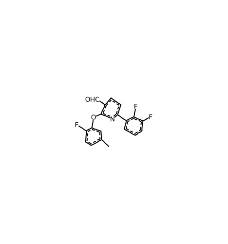 Cc1ccc(F)c(Oc2nc(-c3cccc(F)c3F)ccc2C=O)c1